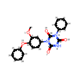 COc1cc(-n2c(=O)[nH]c(=O)n(-c3ccccc3)c2=O)ccc1Oc1ccccc1